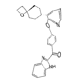 O=C(c1ccc(Oc2ncccc2[C@H]2CC[C@@]3(CCO3)CC2)cc1)c1nc2ccccc2[nH]1